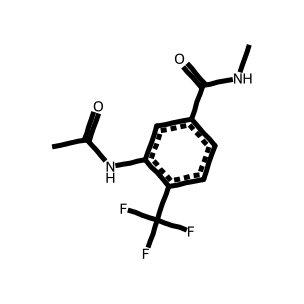 CNC(=O)c1ccc(C(F)(F)F)c(NC(C)=O)c1